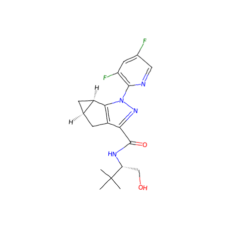 CC(C)(C)[C@@H](CO)NC(=O)c1nn(-c2ncc(F)cc2F)c2c1C[C@H]1C[C@@H]21